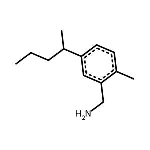 CCCC(C)c1ccc(C)c(CN)c1